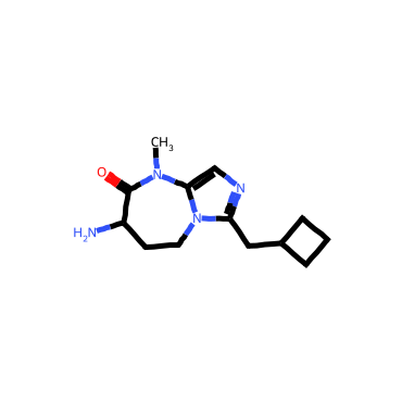 CN1C(=O)C(N)CCn2c1cnc2CC1CCC1